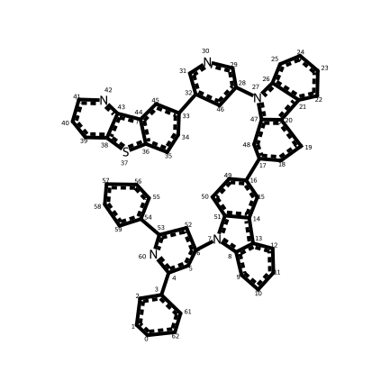 c1ccc(-c2cc(-n3c4ccccc4c4cc(-c5ccc6c7ccccc7n(-c7cncc(-c8ccc9sc%10cccnc%10c9c8)c7)c6c5)ccc43)cc(-c3ccccc3)n2)cc1